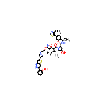 Cc1ncsc1-c1ccc([C@H](C)NC(=O)[C@@H]2C[C@@H](O)CN2C(=O)C(c2cc(OCCN3CC(c4cc5nnc(-c6ccccc6O)cc5s4)C3)no2)C(C)C)cc1